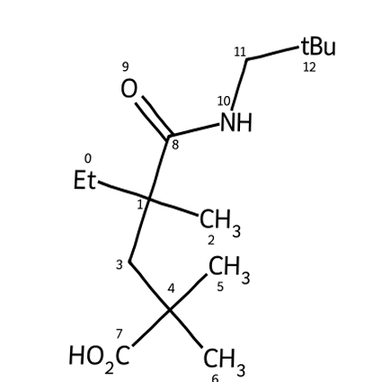 CCC(C)(CC(C)(C)C(=O)O)C(=O)NCC(C)(C)C